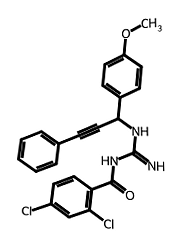 COc1ccc(C(C#Cc2ccccc2)NC(=N)NC(=O)c2ccc(Cl)cc2Cl)cc1